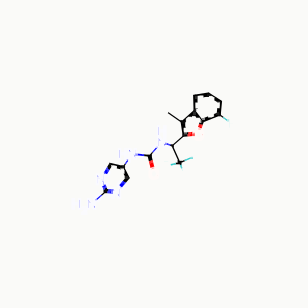 Cc1c(C(NC(=O)Nc2cnc(N)nc2)C(F)(F)F)oc2c(F)cccc12